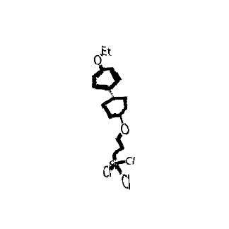 CCOc1ccc([C@H]2CC[C@H](OCCC[Si](Cl)(Cl)Cl)CC2)cc1